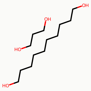 OCCCCCCCCCCO.OCCCO